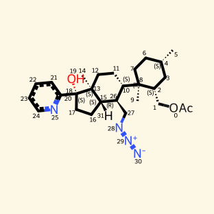 CC(=O)OC[C@H]1C[C@@H](C)CC[C@]1(C)[C@H]1CC[C@@]2(C)[C@@H](CC[C@@]2(O)c2ccccn2)[C@@H]1CN=[N+]=[N-]